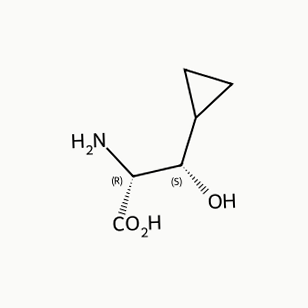 N[C@@H](C(=O)O)[C@@H](O)C1CC1